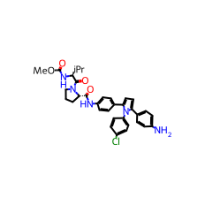 COC(=O)N[C@H](C(=O)N1CCC[C@H]1C(=O)Nc1ccc(-c2ccc(-c3ccc(N)cc3)n2-c2ccc(Cl)cc2)cc1)C(C)C